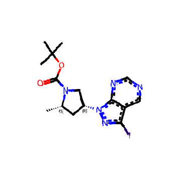 C[C@H]1C[C@@H](n2nc(I)c3cncnc32)CN1C(=O)OC(C)(C)C